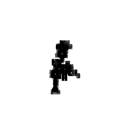 C[C@H](Nc1nc(NCc2ccc(S(N)(=O)=O)cc2)nc2ccc(C#CC3CC3)nc12)C(F)(F)F